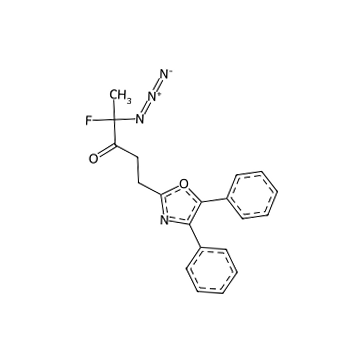 CC(F)(N=[N+]=[N-])C(=O)CCc1nc(-c2ccccc2)c(-c2ccccc2)o1